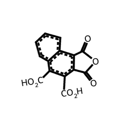 O=C(O)c1c2c(c3ccccc3c1C(=O)O)C(=O)OC2=O